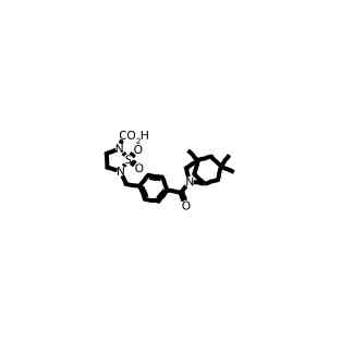 CC1(C)CC2CC(C)(CN2C(=O)c2ccc(CN3CCN(C(=O)O)S3(=O)=O)cc2)C1